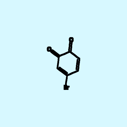 O=C1C=CC(Br)=CC1=O